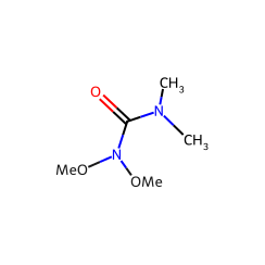 CON(OC)C(=O)N(C)C